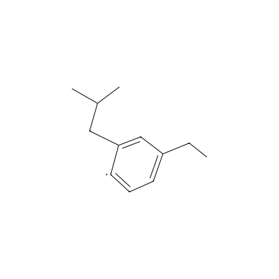 CCc1cc[c]c(CC(C)C)c1